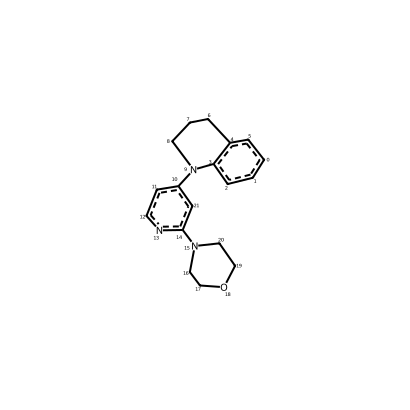 c1ccc2c(c1)CCCN2c1ccnc(N2CCOCC2)c1